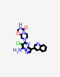 Nc1c(Cl)c(N2CCN3C(=O)NCOC3C2)nc2c(-c3cnc4ccccc4c3)cnn12